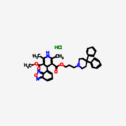 COC(=O)C1=C(C)NC(C)=C(C(=O)OCCCN2CCC(c3ccccc3)(c3ccccc3)CC2)C1c1cccc2nonc12.Cl